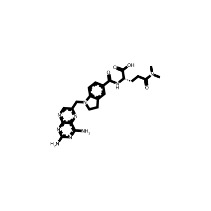 CN(C)C(=O)CC[C@H](NC(=O)c1ccc2c(c1)CCN2Cc1cnc2nc(N)nc(N)c2n1)C(=O)O